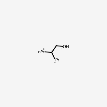 CCCC(CO)C(C)C